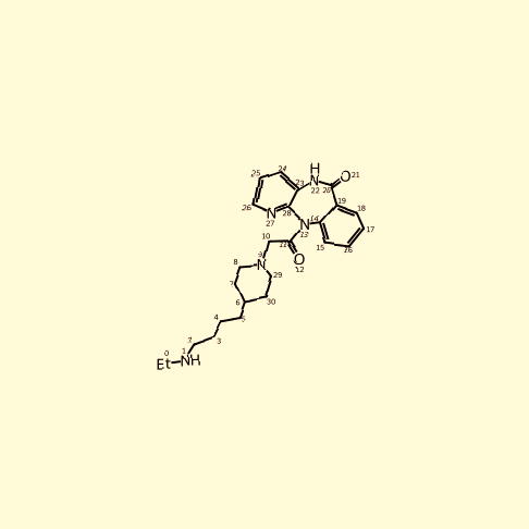 CCNCCCCC1CCN(CC(=O)N2c3ccccc3C(=O)Nc3cccnc32)CC1